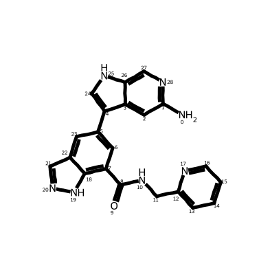 Nc1cc2c(-c3cc(C(=O)NCc4ccccn4)c4[nH]ncc4c3)c[nH]c2cn1